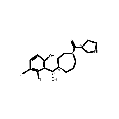 O=C([C@H]1CCNC1)N1CCC[C@@H]([C@H](O)c2c(O)ccc(Cl)c2Cl)CC1